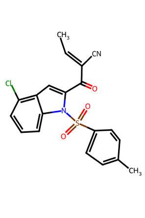 CC=C(C#N)C(=O)c1cc2c(Cl)cccc2n1S(=O)(=O)c1ccc(C)cc1